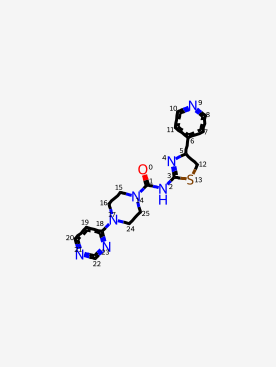 O=C(NC1=NC(c2ccncc2)CS1)N1CCN(c2ccncn2)CC1